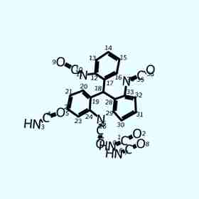 N=C=O.N=C=O.N=C=O.O=C=Nc1ccccc1C(c1ccccc1N=C=O)c1ccccc1N=C=O